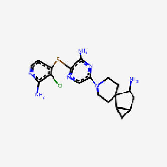 Nc1nc(N2CCC3(CC2)C(N)CC2CC23)cnc1Sc1ccnc(N)c1Cl